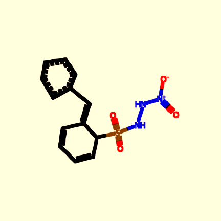 O=[N+]([O-])NNS(=O)(=O)C1C=CC=C/C1=C\c1ccccc1